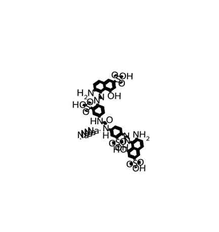 Nc1ccc2cc(S(=O)(=O)O)cc(O)c2c1N=Nc1ccc(NC(=O)Nc2ccc(N=Nc3c(N)ccc4cc(S(=O)(=O)O)cc(O)c34)c(S(=O)(=O)O)c2)cc1S(=O)(=O)O.[Na].[Na].[Na].[Na]